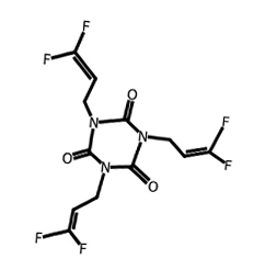 O=c1n(CC=C(F)F)c(=O)n(CC=C(F)F)c(=O)n1CC=C(F)F